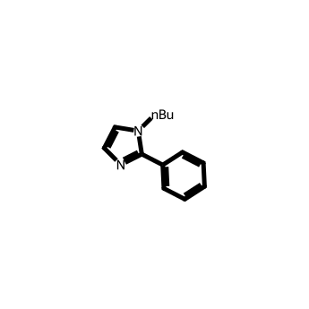 CCCCn1ccnc1-c1ccccc1